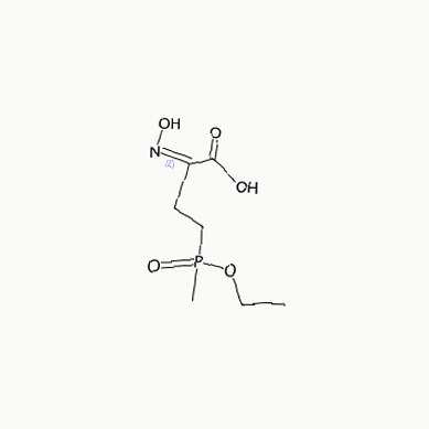 CCOP(C)(=O)CC/C(=N/O)C(=O)O